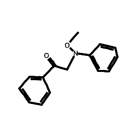 CON(CC(=O)c1ccccc1)c1ccccc1